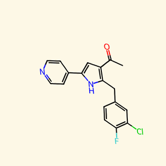 CC(=O)c1cc(-c2ccncc2)[nH]c1Cc1ccc(F)c(Cl)c1